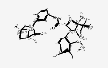 COc1c([C@H]2[C@H](C(=O)Nc3ccnc(N4C[C@@H]5C[C@@H](N5)C4=O)c3)O[C@@](C)(C(F)(F)F)[C@H]2C)ccc(F)c1F